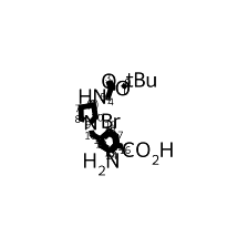 CC(C)(C)OC(=O)CN[C@@H]1CCN(Cc2cc(N)c(C(=O)O)cc2Br)C1